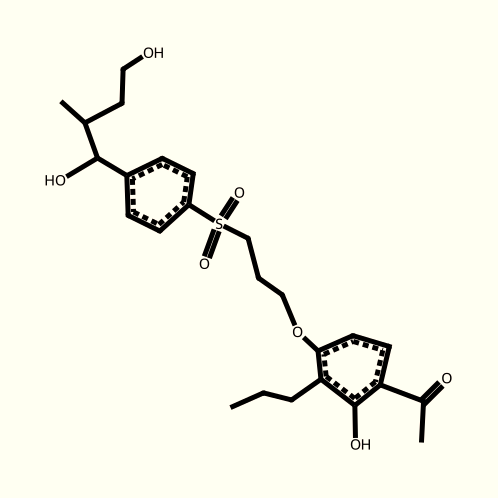 CCCc1c(OCCCS(=O)(=O)c2ccc(C(O)C(C)CCO)cc2)ccc(C(C)=O)c1O